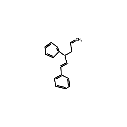 C=CCN([C]=Cc1ccccc1)c1ccccc1